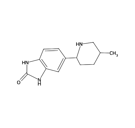 CC1CCC(c2ccc3[nH]c(=O)[nH]c3c2)NC1